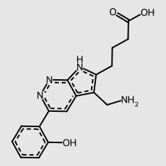 NCc1c(CCCC(=O)O)[nH]c2nnc(-c3ccccc3O)cc12